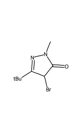 CN1N=C(C(C)(C)C)C(Br)C1=O